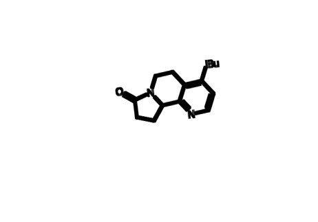 CCC(C)c1ccnc2c1CCN1C(=O)CCC21